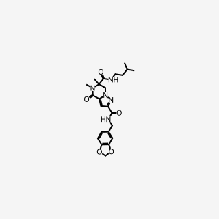 CC(C)CCNC(=O)C1(C)Cn2nc(C(=O)NCc3ccc4c(c3)OCO4)cc2C(=O)N1C